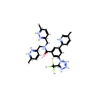 Cc1ccc(-c2cc(C(=O)N(Cc3ccc(C)nn3)Cc3ccc(C)nn3)cc(-n3nnnc3C(F)(F)F)c2)nc1